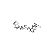 COc1ccc(/C=N/NC(=O)COc2cccc3c2OC(C)(C)C3)cc1